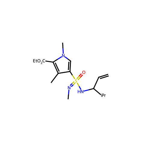 C=CC(NS(=O)(=NC)c1cn(C)c(C(=O)OCC)c1C)C(C)C